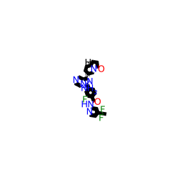 CC(F)(F)c1ccnc(NC(=O)c2ccc(C3=NC([C@@H]4CC[C@H]5CCC(=O)N5C4)=C4C=NC=C[N+]34N)cc2F)c1